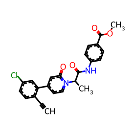 C#Cc1ccc(Cl)cc1-c1ccn(C(C)C(=O)Nc2ccc(C(=O)OC)cc2)c(=O)c1